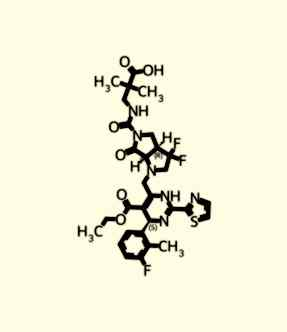 CCOC(=O)C1=C(CN2CC(F)(F)[C@@H]3CN(C(=O)NCC(C)(C)C(=O)O)C(=O)[C@@H]32)NC(c2nccs2)=N[C@H]1c1cccc(F)c1C